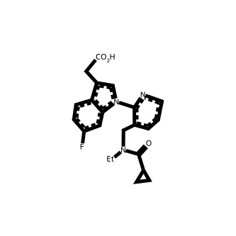 CCN(Cc1cccnc1-n1cc(CC(=O)O)c2ccc(F)cc21)C(=O)C1CC1